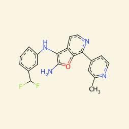 Cc1cc(-c2nccc3c(Nc4cccc(C(F)F)c4)c(N)oc23)ccn1